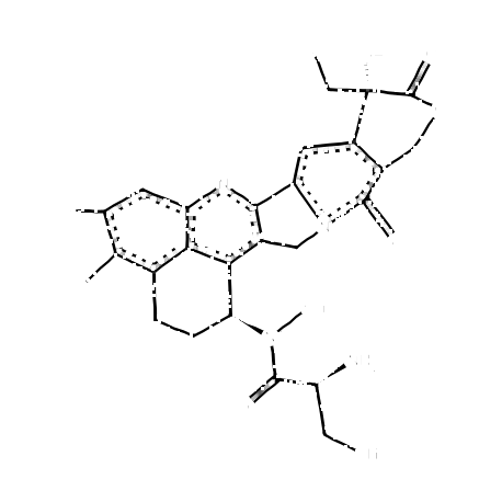 CC[C@@]1(O)C(=O)OCc2c1cc1n(c2=O)Cc2c-1nc1cc(F)c(C)c3c1c2[C@@H](N(C)C(=O)[C@@H](N)CS)CC3